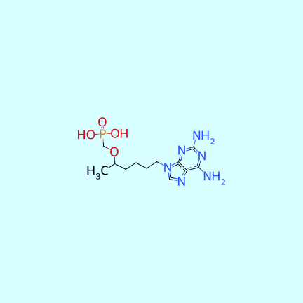 CC(CCCCn1cnc2c(N)nc(N)nc21)OCP(=O)(O)O